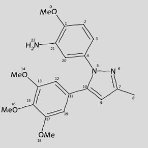 COc1ccc(-n2nc(C)cc2-c2cc(OC)c(OC)c(OC)c2)cc1N